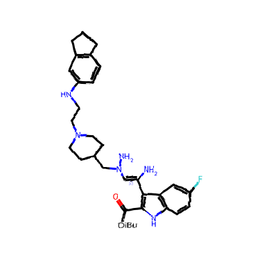 CC(C)COC(=O)c1[nH]c2ccc(F)cc2c1/C(N)=C/N(N)CC1CCN(CCNc2ccc3c(c2)CCC3)CC1